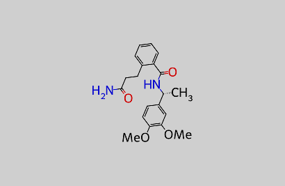 COc1ccc([C@@H](C)NC(=O)c2ccccc2CCC(N)=O)cc1OC